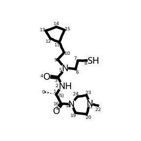 C[C@H](NC(=O)N(CCS)CCC1CCCC1)C(=O)N1CCN(C)CC1